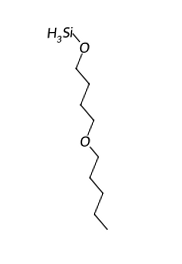 CCCCCOCCCCO[SiH3]